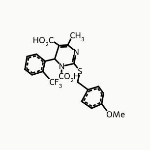 COc1ccc(CSC2=NC(C)=C(C(=O)O)C(c3ccccc3C(F)(F)F)N2C(=O)O)cc1